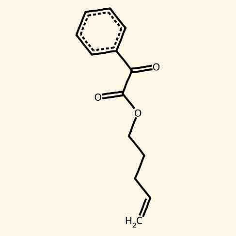 C=CCCCOC(=O)C(=O)c1ccccc1